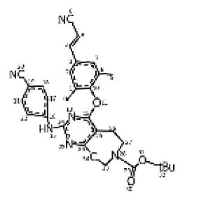 Cc1cc(C=CC#N)cc(C)c1Oc1nc(Nc2ccc(C#N)cc2)nc2c1CCN(C(=O)OC(C)(C)C)CC2